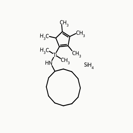 CC1=C(C)C(C)[C]([Ti]([CH3])([CH3])[NH]C2CCCCCCCCCCC2)=C1C.[SiH4]